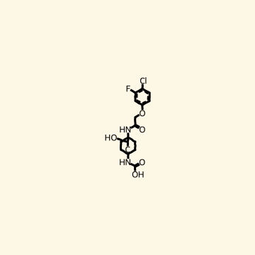 O=C(O)NC12CCC(NC(=O)COc3ccc(Cl)c(F)c3)(CC1)C(O)C2